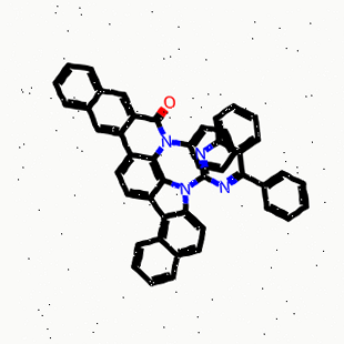 O=c1c2cc3ccccc3cc2c2ccc3c4c5ccccc5ccc4n(-c4nc(-c5ccccc5)c5ccccc5n4)c3c2n1-c1ccccc1